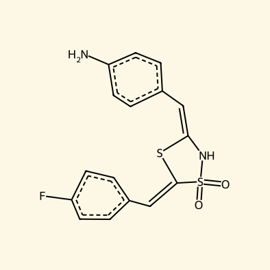 Nc1ccc(/C=C2/NS(=O)(=O)/C(=C/c3ccc(F)cc3)S2)cc1